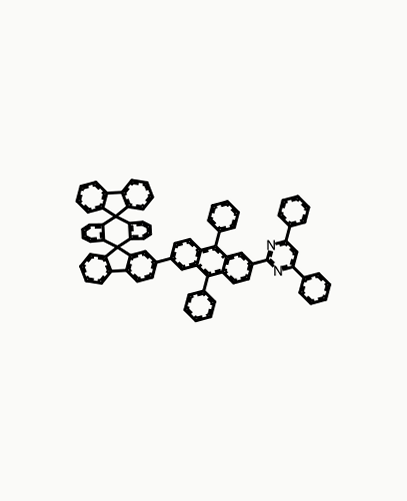 c1ccc(-c2cc(-c3ccccc3)nc(-c3ccc4c(-c5ccccc5)c5cc(-c6ccc7c(c6)C6(c8ccccc8-7)c7ccccc7C7(c8ccccc8-c8ccccc87)c7ccccc76)ccc5c(-c5ccccc5)c4c3)n2)cc1